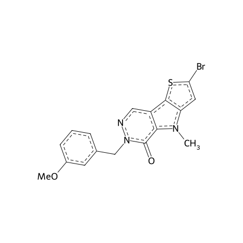 COc1cccc(Cn2ncc3c4sc(Br)cc4n(C)c3c2=O)c1